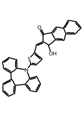 O=C1/C(=C/c2ccc(N3c4ccccc4-c4ccccc4-c4ccccc43)s2)C(O)c2cc3ccccc3cc21